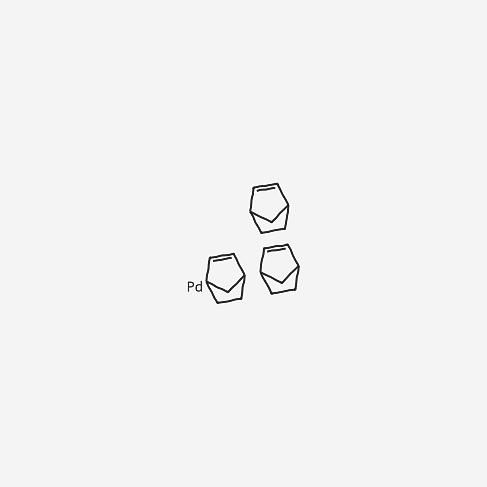 C1=CC2CCC1C2.C1=CC2CCC1C2.C1=CC2CCC1C2.[Pd]